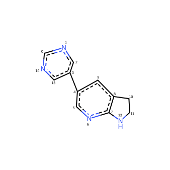 c1ncc(-c2cnc3c(c2)CCN3)cn1